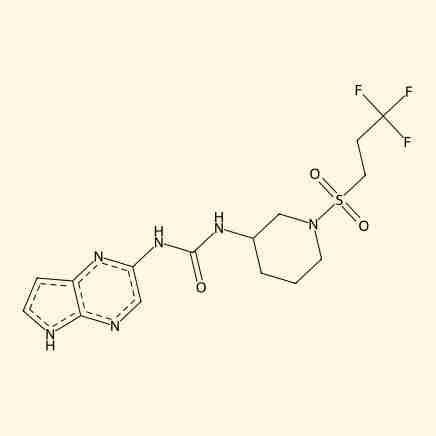 O=C(Nc1cnc2[nH]ccc2n1)NC1CCCN(S(=O)(=O)CCC(F)(F)F)C1